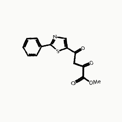 COC(=O)C(=O)CC(=O)c1cnc(-c2ccccc2)s1